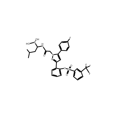 CC(C)CC(NC(=O)Cn1nc(-c2ccccc2OS(=O)(=O)c2cccc(C(F)(F)F)c2)cc1-c1ccc(F)cc1)B(O)O